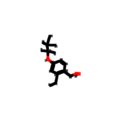 CCc1cc(O[Si](C)(C)C(C)(C)C)ccc1CO